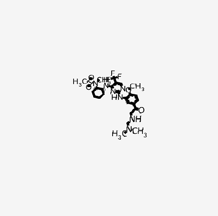 COc1ccc(C(=O)CNCN(C)C)cc1Nc1ncc(C(F)(F)F)c(N[C@@H]2CCCC[C@H]2N(C)S(C)(=O)=O)n1